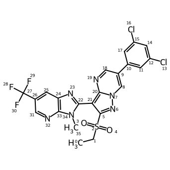 CCS(=O)(=O)c1nn2cc(-c3cc(Cl)cc(Cl)c3)cnc2c1-c1nc2cc(C(F)(F)F)cnc2n1C